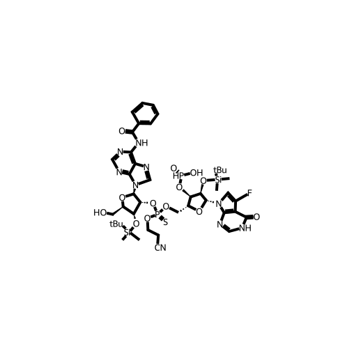 CC(C)(C)[Si](C)(C)O[C@@H]1[C@H](O[PH](=O)O)[C@@H](COP(=S)(OCCC#N)O[C@@H]2[C@H](O[Si](C)(C)C(C)(C)C)[C@@H](CO)O[C@H]2n2cnc3c(NC(=O)c4ccccc4)ncnc32)O[C@H]1n1cc(F)c2c(=O)[nH]cnc21